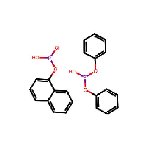 OP(O)Oc1cccc2ccccc12.OP(Oc1ccccc1)Oc1ccccc1